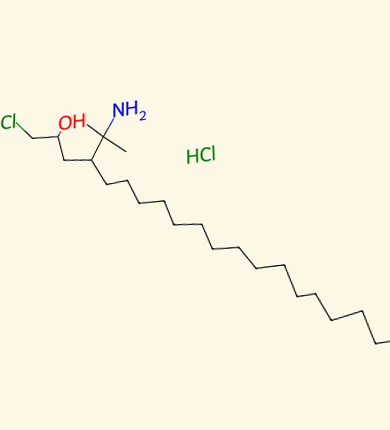 CCCCCCCCCCCCCCCCC(CC(O)CCl)C(C)(C)N.Cl